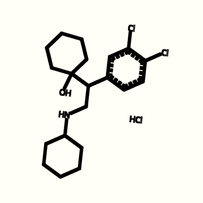 Cl.OC1(C(CNC2CCCCC2)c2ccc(Cl)c(Cl)c2)CCCCC1